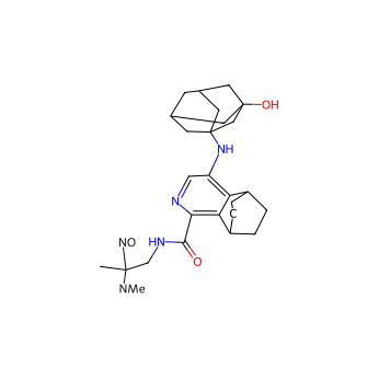 CNC(C)(CNC(=O)c1ncc(NC23CC4CC(CC(O)(C4)C2)C3)c2c1C1CCC2CC1)N=O